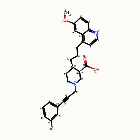 COc1ccc2nccc(CCC[C@@H]3CCN(CC#Cc4cccc(Cl)c4)C[C@@H]3C(=O)O)c2c1